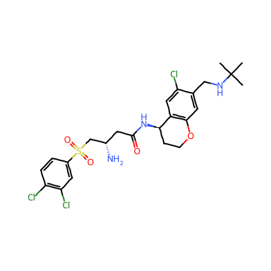 CC(C)(C)NCc1cc2c(cc1Cl)[C@H](NC(=O)C[C@H](N)CS(=O)(=O)c1ccc(Cl)c(Cl)c1)CCO2